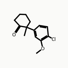 COc1cc(C2(C)CCCCC2=O)ccc1Cl